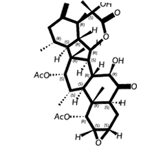 C=C1C[C@@H](C)[C@H]2[C@H]3[C@H](OC(=O)[C@@](C)(O)[C@@]13C)[C@H]1[C@H]3[C@H]([C@H](C)[C@H](OC(C)=O)[C@]21C)[C@]1(C)[C@H](C[C@@H]2O[C@@H]2[C@@H]1OC(C)=O)C(=O)[C@@H]3O